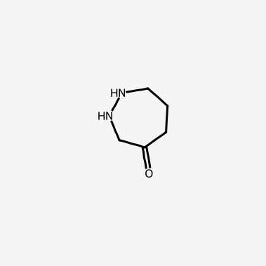 O=C1CCCNNC1